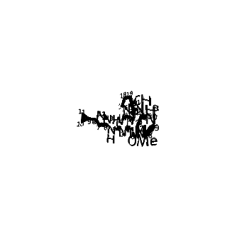 CONc1nc(Nc2cc(C3CC3)n[nH]2)nc(N2CCCC2(C)C(=O)Nc2cnccn2)n1